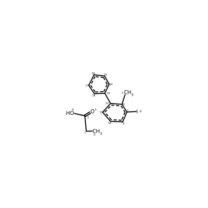 CCC(=O)O.Cc1c(I)cccc1-c1ccccc1